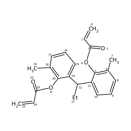 C=CC(=O)Oc1c(C)cccc1C(CC)c1cccc(C)c1OC(=O)C=C